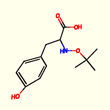 CC(C)(C)ONC(Cc1ccc(O)cc1)C(=O)O